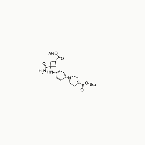 COC(=O)C1CC(Nc2ccc(N3CCN(C(=O)OC(C)(C)C)CC3)cc2)(C(N)=O)C1